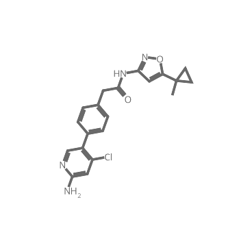 CC1(c2cc(NC(=O)Cc3ccc(-c4cnc(N)cc4Cl)cc3)no2)CC1